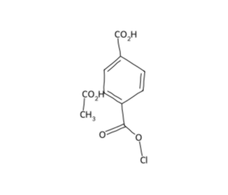 CC(=O)O.O=C(O)c1ccc(C(=O)OCl)cc1